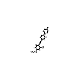 Cc1ccc(-c2ccc(C#Cc3ccc(N=C=S)cc3Cl)cc2)cc1